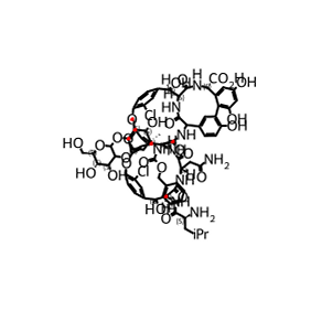 CC(C)C[C@H](N)C(=O)N[C@H]1C(=O)N[C@@H](CC(N)=O)C(=O)N[C@H]2C(=O)NC3C(=O)N[C@H](C(=O)N[C@H](C(=O)O)c4cc(O)cc(O)c4-c4cc3ccc4O)[C@H](O)c3ccc(c(Cl)c3)Oc3cc2cc(c3OC2O[C@H](CO)[C@@H](O)[C@H](O)C2O[C@H]2C[C@](C)(NC(=O)OCc3ccccc3)[C@H](O)[C@H](C)O2)Oc2ccc(cc2Cl)[C@H]1O